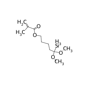 C=C(C)C(=O)OCCCCC([SiH3])(OC)OC